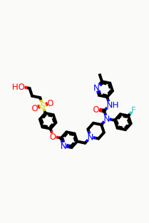 Cc1ccc(NC(=O)N(c2cccc(F)c2)C2CCN(Cc3ccc(Oc4ccc(S(=O)(=O)CCCO)cc4)nc3)CC2)cn1